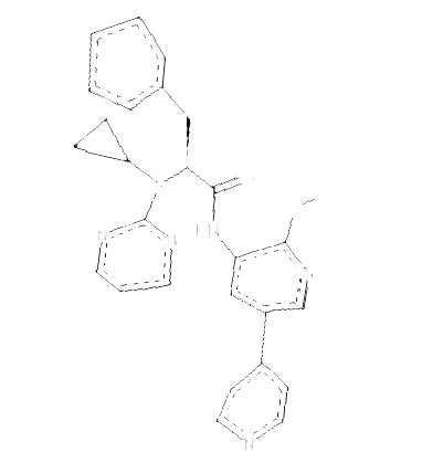 COc1ncc(-c2ccncc2)cc1NC(=O)[C@H](Cc1ccccc1)N(c1ncccn1)C1CC1